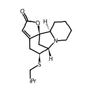 CC(C)CS[C@H]1CC2=CC(=O)O[C@@]23C[C@@H]1N1CCCC[C@@H]13